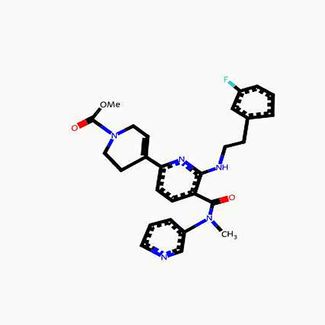 COC(=O)N1CC=C(c2ccc(C(=O)N(C)c3cccnc3)c(NCCc3cccc(F)c3)n2)CC1